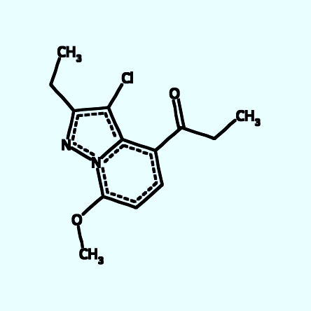 CCC(=O)c1ccc(OC)n2nc(CC)c(Cl)c12